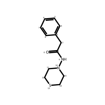 O=C(Cc1ccccc1)NN1CCSCC1